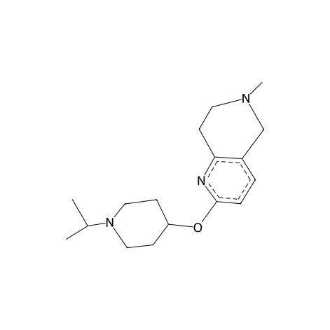 CC(C)N1CCC(Oc2ccc3c(n2)CCN(C)C3)CC1